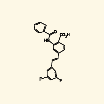 O=C(Nc1cc(C=Cc2cc(F)cc(F)c2)ccc1C(=O)O)c1ccccc1